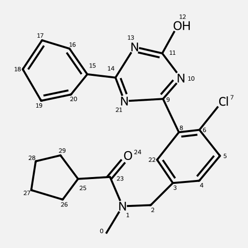 CN(Cc1ccc(Cl)c(-c2nc(O)nc(-c3ccccc3)n2)c1)C(=O)C1CCCC1